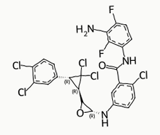 Nc1c(F)ccc(NC(=O)c2cc(N[C@@H]3OC3[C@H]3[C@H](c4ccc(Cl)c(Cl)c4)C3(Cl)Cl)ccc2Cl)c1F